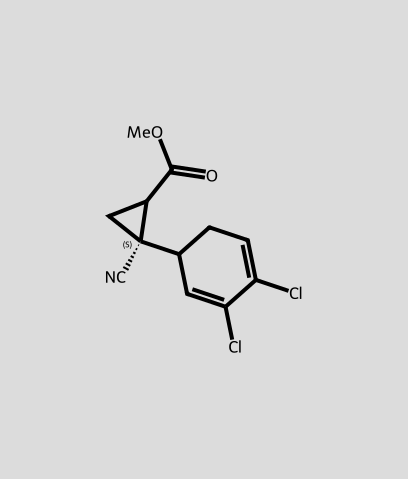 COC(=O)C1C[C@]1(C#N)C1C=C(Cl)C(Cl)=CC1